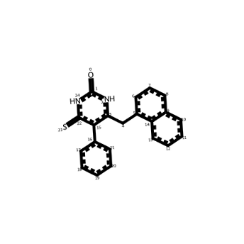 O=c1[nH]c(Cc2cccc3ccccc23)c(-c2ccccc2)c(=S)[nH]1